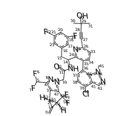 C=C1[C@@H]2c3c(C(F)F)nn(CC(=O)NC(Cc4cc(F)cc(F)c4)c4nc(C#CC(C)(C)O)ccc4-c4ccc(Cl)c5cnn(C)c45)c3C(F)(F)[C@H]12